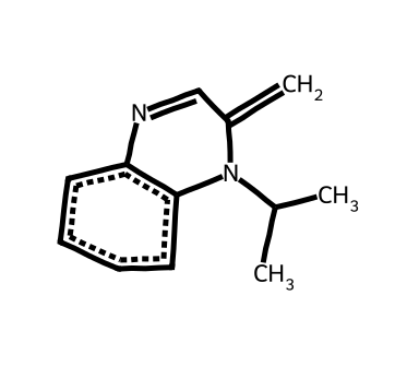 C=C1C=Nc2ccccc2N1C(C)C